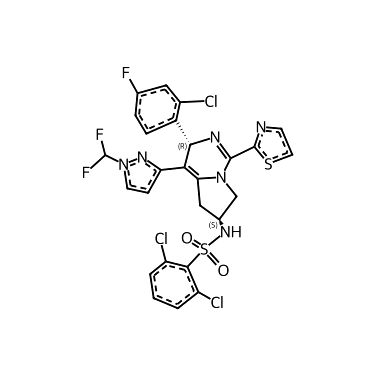 O=S(=O)(N[C@H]1CC2=C(c3ccn(C(F)F)n3)[C@H](c3ccc(F)cc3Cl)N=C(c3nccs3)N2C1)c1c(Cl)cccc1Cl